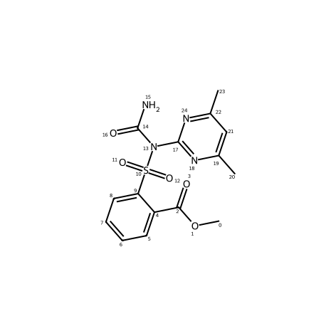 COC(=O)c1ccccc1S(=O)(=O)N(C(N)=O)c1nc(C)cc(C)n1